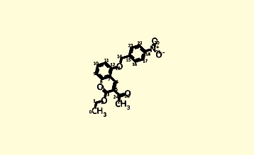 CCOC(=O)C(=Cc1ccccc1OCc1ccc([N+](=O)[O-])cc1)C(C)=O